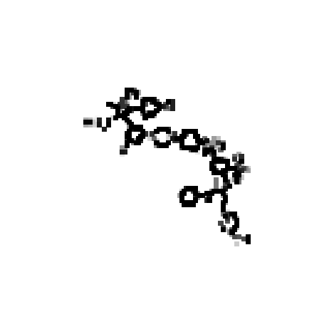 Cc1c(C(=O)O)c(-c2cc(F)cc(N3CCN(c4ccc(NS(=O)(=O)c5ccc(NC(CCN6CCC(O)CC6)CSc6ccccc6)c(S(C)(=O)=O)c5)cc4)CC3)c2)c(-c2ccc(Cl)cc2)n1C(C)C